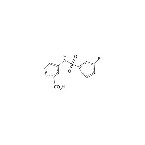 O=C(O)c1cccc(NS(=O)(=O)c2cccc(F)c2)c1